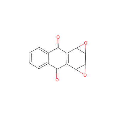 O=C1C2=C(C(=O)c3ccccc31)C1OC1C1OC21